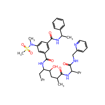 CC(C)CC(NC(=O)c1cc(C(=O)NC(C)c2ccccc2)cc(N(C)S(C)(=O)=O)c1)C(O)CC(C)C(=O)NC(C(=O)NCc1ccccn1)C(C)C